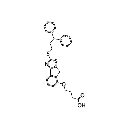 O=C(O)CCCOc1cccc2c1Cc1sc(SCCC(c3ccccc3)c3ccccc3)nc1-2